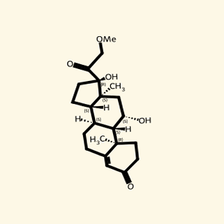 COCC(=O)[C@@]1(O)CC[C@H]2[C@@H]3CCC4=CC(=O)CC[C@]4(C)[C@H]3[C@@H](O)C[C@@]21C